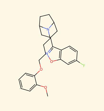 COc1c[c]ccc1OCCCCN1C2CCC1CC(c1noc3cc(F)ccc13)C2